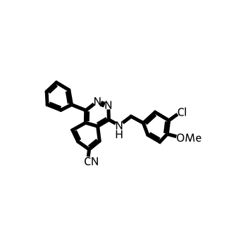 COc1ccc(CNc2nnc(-c3ccccc3)c3ccc(C#N)cc23)cc1Cl